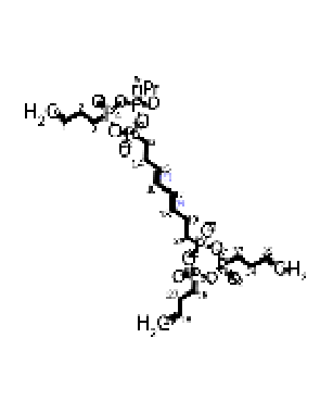 C=CCCP1(=O)OP(=O)(CCC)OP(=O)(CC/C=C/C=C/CCP2(=O)OP(=O)(CCC=C)OP(=O)(CCC=C)O2)O1